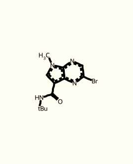 Cn1cc(C(=O)NC(C)(C)C)c2nc(Br)cnc21